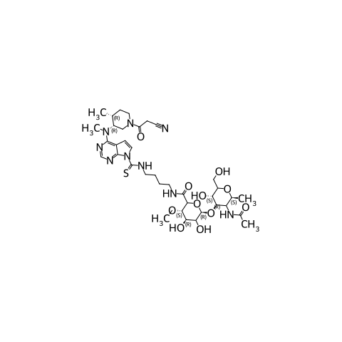 CO[C@@H]1C(C(=O)NCCCCNC(=S)n2ccc3c(N(C)[C@H]4CN(C(=O)CC#N)CC[C@H]4C)ncnc32)O[C@@H](O[C@@H]2C(NC(C)=O)[C@H](C)OC(CO)[C@H]2O)C(O)[C@H]1O